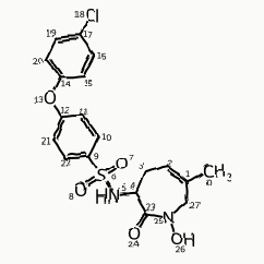 CC1=CCC(NS(=O)(=O)c2ccc(Oc3ccc(Cl)cc3)cc2)C(=O)N(O)C1